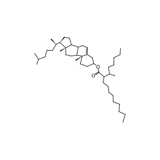 CCCCCCCCCC(C(=O)OC1CC[C@@]2(C)C(=CCC3C2CC[C@@]2(C)C3CC[C@@H]2[C@H](C)CCCC(C)C)C1)C(C)CCCCC